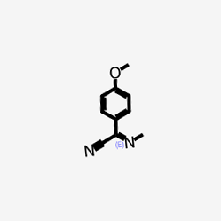 C/N=C(/C#N)c1ccc(OC)cc1